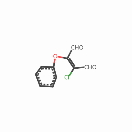 O=CC(Cl)=C(C=O)Oc1ccccc1